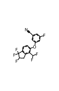 N#Cc1cc(F)cc(Oc2ccc3c(c2C(F)F)CC(F)C3(F)F)c1